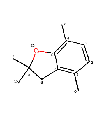 Cc1ccc(C)c2c1CC(C)(C)O2